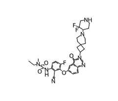 CCN(C)S(=O)(=O)Nc1ccc(F)c(Oc2ccc3ncn(C4CC5(CCN(C6CCNCC6(F)F)CC5)C4)c(=O)c3c2)c1C#N